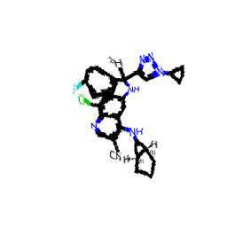 [2H]C(Nc1cc(Cl)c2ncc(C#N)c(NC3[C@H]4CCC[C@@H]34)c2c1)(c1ccc(F)cc1)c1cn(C2CC2)nn1